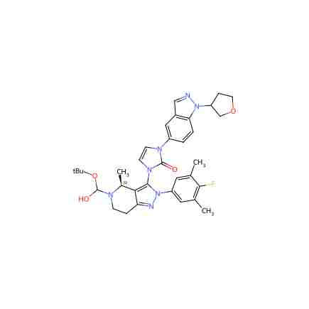 Cc1cc(-n2nc3c(c2-n2ccn(-c4ccc5c(cnn5C5CCOC5)c4)c2=O)[C@H](C)N(C(O)OC(C)(C)C)CC3)cc(C)c1F